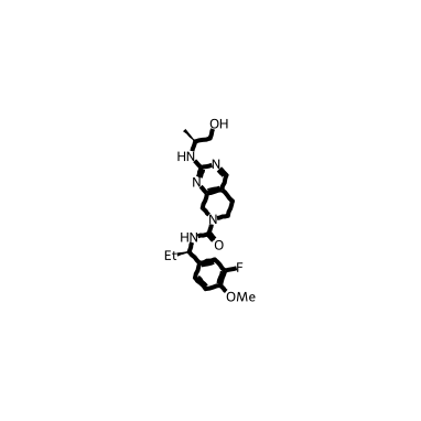 CC[C@@H](NC(=O)N1CCc2cnc(N[C@@H](C)CO)nc2C1)c1ccc(OC)c(F)c1